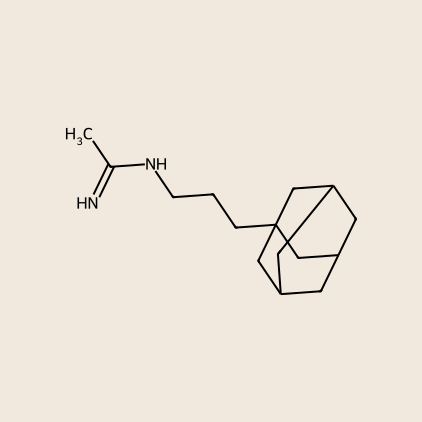 CC(=N)NCCCC12CC3CC(CC(C3)C1)C2